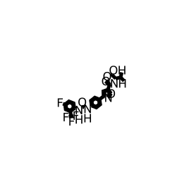 CC(C)C(NC(=O)c1cc(-c2ccc(NC(=O)Nc3ccc(F)cc3C(F)(F)F)cc2)no1)C(=O)O